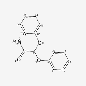 NC(=O)C(Oc1ccccc1)Oc1ccccn1